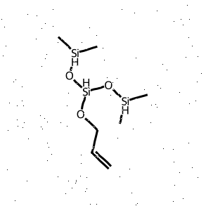 C=CCO[SiH](O[SiH](C)C)O[SiH](C)C